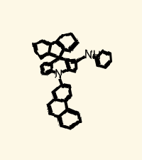 C1=CC2=C(CC1)c1ccccc1C21c2ccccc2N(c2ccc3c(ccc4ccccc43)c2)c2ccc(Nc3ccccc3)cc21